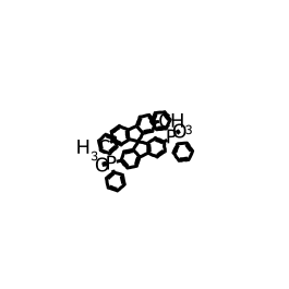 Cc1ccc2c(c1)C1(c3cc(C)ccc3-2)c2cc(P(=O)(c3ccccc3)c3ccccc3)ccc2-c2ccc(P(=O)(c3ccccc3)c3ccccc3)cc21